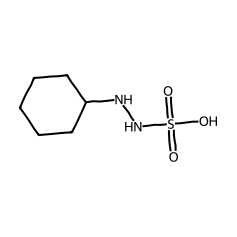 O=S(=O)(O)NNC1CCCCC1